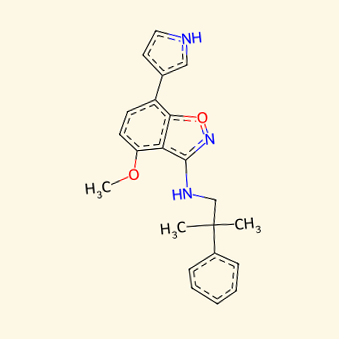 COc1ccc(-c2cc[nH]c2)c2onc(NCC(C)(C)c3ccccc3)c12